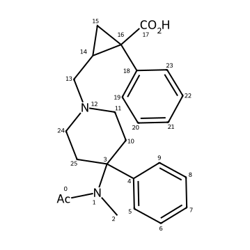 CC(=O)N(C)C1(c2ccccc2)CCN(CC2CC2(C(=O)O)c2ccccc2)CC1